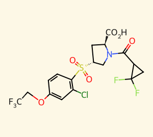 O=C(O)[C@@H]1C[C@@H](S(=O)(=O)c2ccc(OCC(F)(F)F)cc2Cl)CN1C(=O)C1CC1(F)F